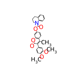 COc1ccc(-c2c(C)c3ccc(OC(=O)N4CCCc5ccccc54)cc3oc2=O)cc1OC